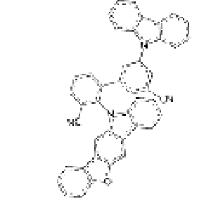 N#Cc1cc(-c2cccc(C#N)c2-n2c3ccccc3c3cc4oc5ccccc5c4cc32)cc(-n2c3ccccc3c3ccccc32)c1